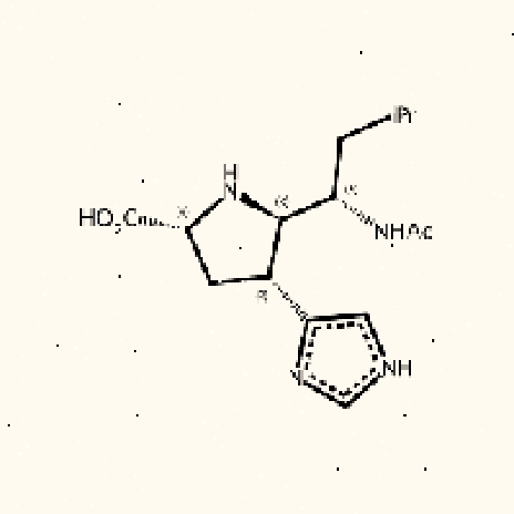 CC(=O)N[C@@H](CC(C)C)[C@@H]1N[C@@H](C(=O)O)C[C@H]1c1c[nH]cn1